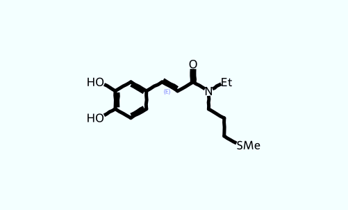 CCN(CCCSC)C(=O)/C=C/c1ccc(O)c(O)c1